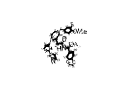 COc1ccc(CN2CCN(c3ccnc(-n4ccnc4)n3)C(CC(=O)NC(C)c3ccc4c(c3)OCCO4)C2)cc1F